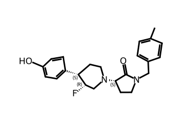 Cc1ccc(CN2CC[C@H](N3CC[C@@H](c4ccc(O)cc4)[C@@H](F)C3)C2=O)cc1